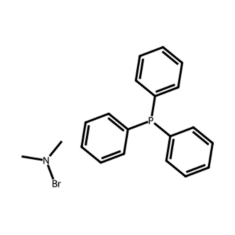 CN(C)Br.c1ccc(P(c2ccccc2)c2ccccc2)cc1